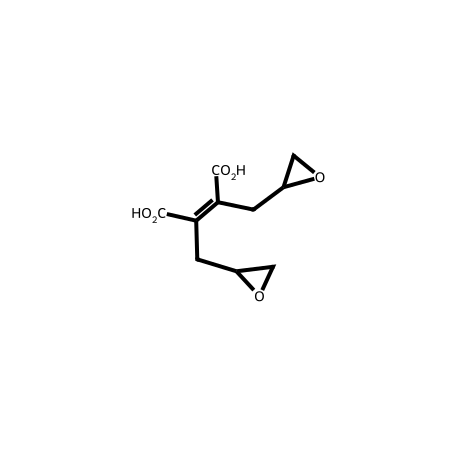 O=C(O)C(CC1CO1)=C(CC1CO1)C(=O)O